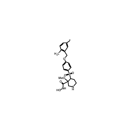 COC1(C(=O)NO)CNCCC1S(=O)(=O)c1ccc(OCc2cc(F)ccc2C)cc1